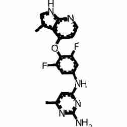 Cc1cc(Nc2cc(F)c(Oc3ccnc4[nH]cc(C)c34)c(F)c2)nc(N)n1